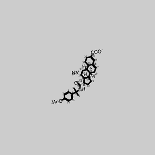 COc1ccc(C(C)(C)NC(=O)[C@H]2CC[C@H]3[C@@H]4CC=C5C=C(C(=O)[O-])CC[C@]5(C)[C@H]4CC[C@]23C)cc1.[Na+]